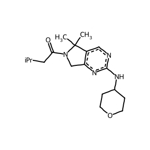 CC(C)CC(=O)N1Cc2nc(NC3CCOCC3)ncc2C1(C)C